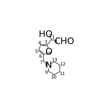 O=CC(O)c1ccc(CN2CCCCC2)o1